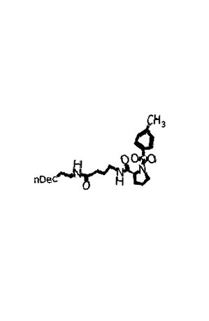 CCCCCCCCCCCCNC(=O)CCCNC(=O)[C@@H]1CCCN1S(=O)(=O)c1ccc(C)cc1